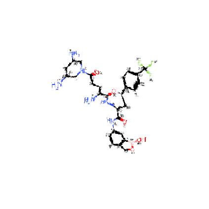 NC(CCC(=O)N1C[C@H](N)C[C@H](N)C1)C(=O)NC(CCc1ccc(C(F)(F)F)cc1)C(=O)Nc1ccc2c(c1)B(O)OC2